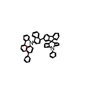 c1ccc(-c2ccc(N(c3ccccc3-c3ccccc3)c3ccc(-c4ccc5c(c4)C4(c6ccccc6-5)c5ccccc5N(c5ccccc5)c5ccccc54)c4ccccc34)cc2)cc1